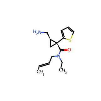 C/C=C/CN(CC)C(=O)[C@@]1(c2cccs2)C[C@H]1CN